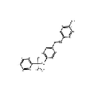 CC(Oc1ccc(COc2ccc(F)cc2)cc1)(C(=O)O)c1ccccc1